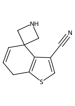 N#Cc1csc2c1C1(C=CC2)CNC1